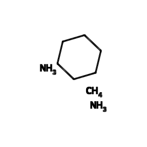 C.C1CCCCC1.N.N